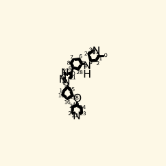 Cc1cc(Nc2cccc(-c3cn(-c4cccc(Oc5ccncc5)c4)nn3)c2)ccn1